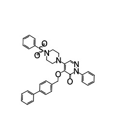 O=c1c(OCc2ccc(-c3ccccc3)cc2)c(N2CCN(S(=O)(=O)c3ccccc3)CC2)cnn1-c1ccccc1